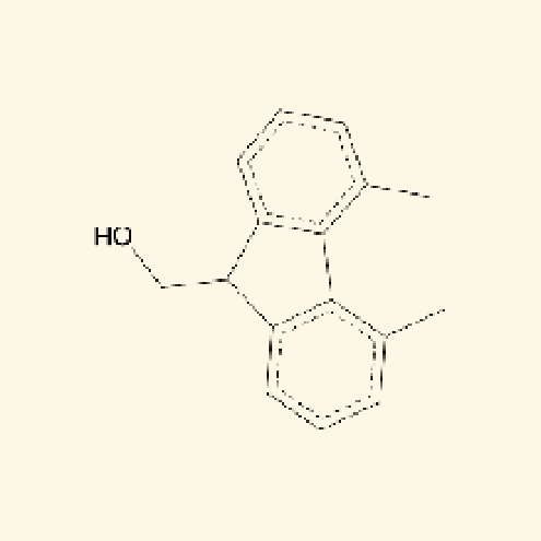 Cc1cccc2c1-c1c(C)cccc1C2CO